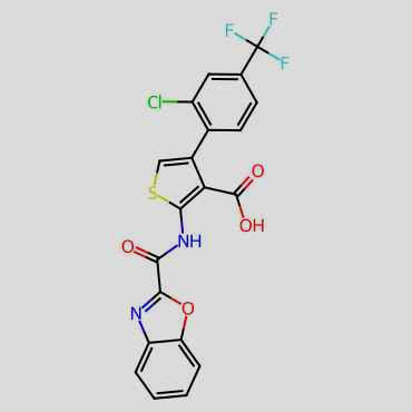 O=C(Nc1scc(-c2ccc(C(F)(F)F)cc2Cl)c1C(=O)O)c1nc2ccccc2o1